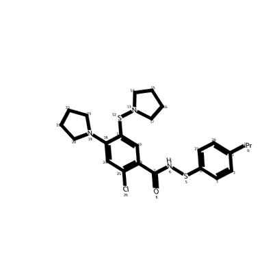 CC(C)c1ccc(SNC(=O)c2cc(SN3CCCC3)c(N3CCCC3)cc2Cl)cc1